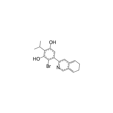 CC(C)c1c(O)cc(-c2cc3c(cn2)=CCCC=3)c(Br)c1O